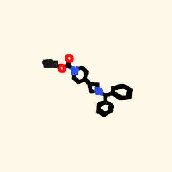 CC(C)(C)OC(=O)N1CCC(C2CN(C(c3ccccc3)c3ccccc3)C2)CC1